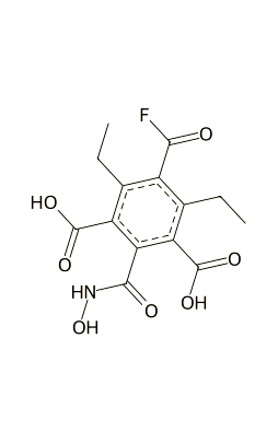 CCc1c(C(=O)F)c(CC)c(C(=O)O)c(C(=O)NO)c1C(=O)O